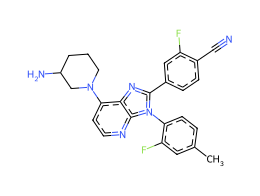 Cc1ccc(-n2c(-c3ccc(C#N)c(F)c3)nc3c(N4CCCC(N)C4)ccnc32)c(F)c1